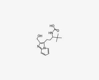 CC(C)(C)C(CCc1c(CO)nc2ccccn12)NC(=O)O